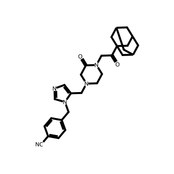 N#Cc1ccc(Cn2cncc2CN2CCN(CC(=O)C34CC5CC(CC(C5)C3)C4)C(=O)C2)cc1